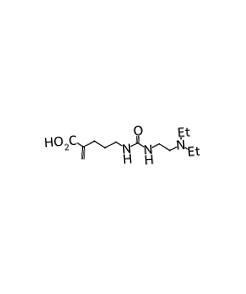 C=C(CCCNC(=O)NCCN(CC)CC)C(=O)O